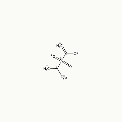 C=C(Cl)S(=O)(=O)C(C)C